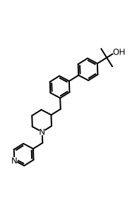 CC(C)(O)c1ccc(-c2cccc(CC3CCCN(Cc4ccncc4)C3)c2)cc1